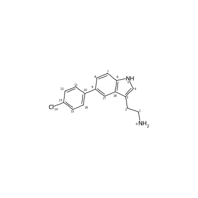 NCCc1c[nH]c2ccc(-c3ccc(Cl)cc3)cc12